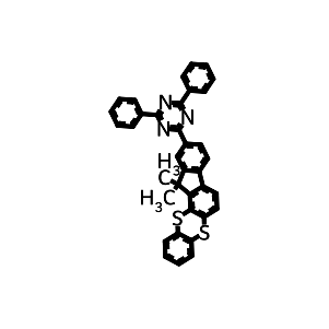 CC1(C)c2cc(-c3nc(-c4ccccc4)nc(-c4ccccc4)n3)ccc2-c2ccc3c(c21)Sc1ccccc1S3